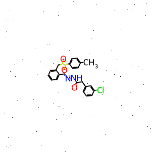 Cc1ccc(S(=O)(=O)Cc2ccccc2C=NNC(=O)Cc2cccc(Cl)c2)cc1